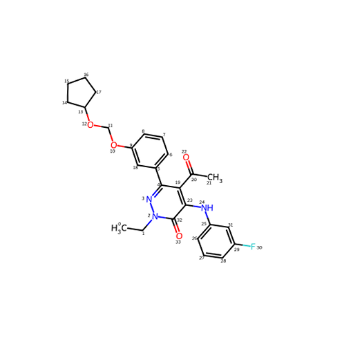 CCn1nc(-c2cccc(OCOC3CCCC3)c2)c(C(C)=O)c(Nc2cccc(F)c2)c1=O